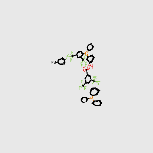 FC(F)(F)c1ccc(P(c2ccccc2)c2ccccc2)c(C(F)(F)F)c1.O=C(O)c1cc(C(F)(F)F)cc(C(F)(F)F)c1.[Pd][c]1ccccc1.c1ccc(P(c2ccccc2)c2ccccc2)cc1